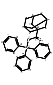 O=C(OS(c1ccccc1)(c1ccccc1)c1ccccc1)C12CC3CC(CC(C3)C1)C2